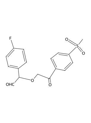 CS(=O)(=O)c1ccc(C(=O)COC(C=O)c2ccc(F)cc2)cc1